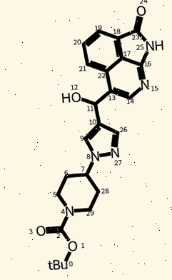 CC(C)(C)OC(=O)N1CCC(n2cc(C(O)c3cnc4c5c(cccc35)C(=O)N4)cn2)CC1